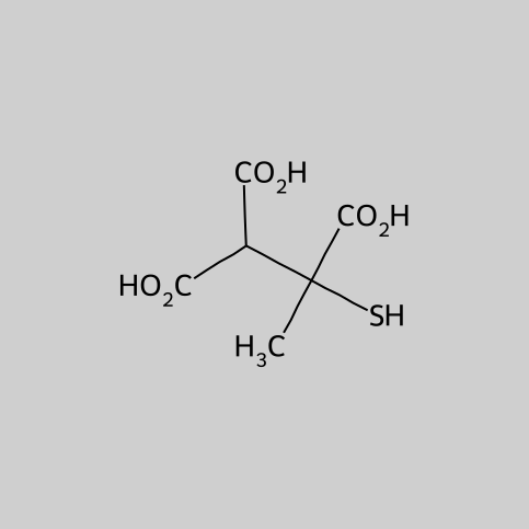 CC(S)(C(=O)O)C(C(=O)O)C(=O)O